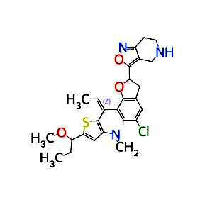 C=Nc1cc(C(CC)OC)sc1/C(=C\C)c1cc(Cl)cc2c1OC(c1onc3c1CNCC3)C2